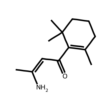 CC1=C(C(=O)/C=C(/C)N)C(C)(C)CCC1